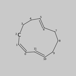 [C]1=C\CCC/C=C/CCC/C=C/1